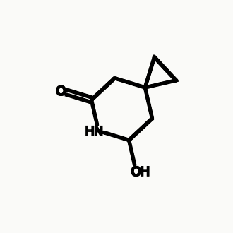 O=C1CC2(CC2)CC(O)N1